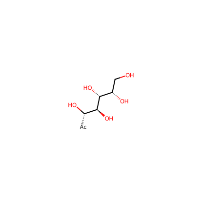 CC(=O)[C@H](O)[C@H](O)[C@H](O)[C@@H](O)CO